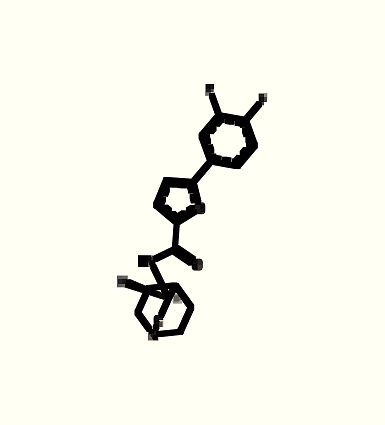 O=C(N[C@H]1CN2CCC1CC2)c1ccc(-c2ccc(F)c(F)c2)o1